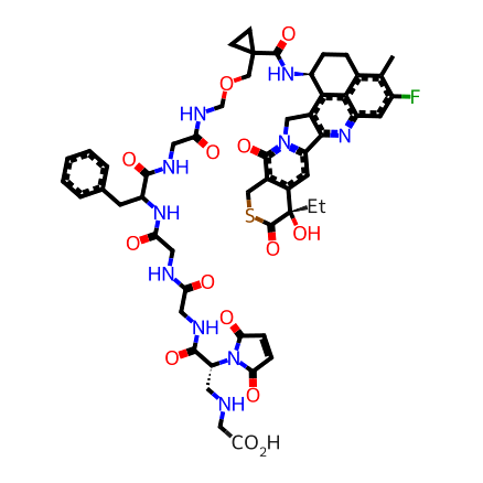 CC[C@@]1(O)C(=O)SCc2c1cc1n(c2=O)Cc2c-1nc1cc(F)c(C)c3c1c2[C@@H](NC(=O)C1(COCNC(=O)CNC(=O)C(Cc2ccccc2)NC(=O)CNC(=O)CNC(=O)[C@@H](CNCC(=O)O)N2C(=O)C=CC2=O)CC1)CC3